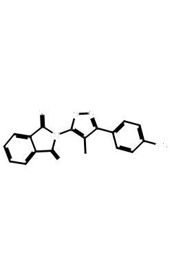 Cc1c(-c2ccc(C#N)cc2)n[nH]c1N1C(=O)c2ccccc2C1=O